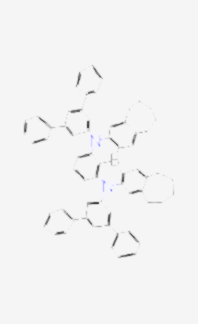 c1ccc(-c2cc(-c3ccccc3)cc(N3c4cc5c(cc4B4c6cc7c(cc6N(c6cc(-c8ccccc8)cc(-c8ccccc8)c6)c6cccc3c64)CCCCC7)CCCCC5)c2)cc1